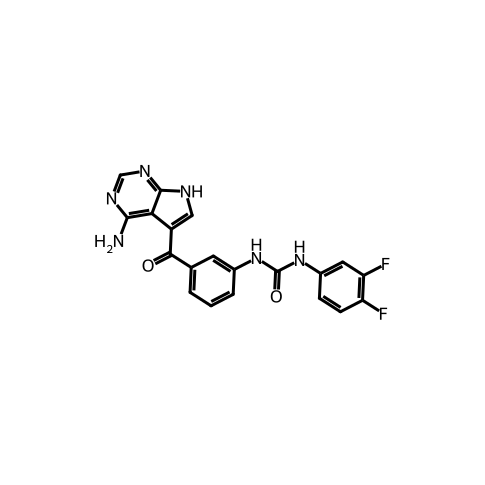 Nc1ncnc2[nH]cc(C(=O)c3cccc(NC(=O)Nc4ccc(F)c(F)c4)c3)c12